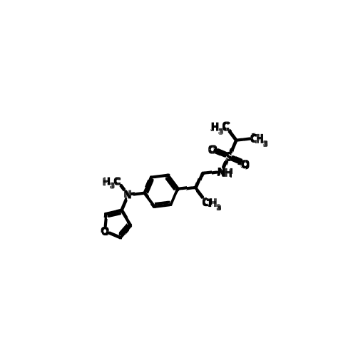 CC(CNS(=O)(=O)C(C)C)c1ccc(N(C)c2ccoc2)cc1